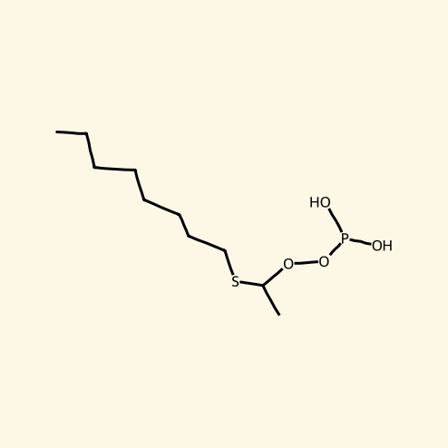 CCCCCCCCSC(C)OOP(O)O